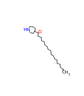 C=CCCCCCCCCCCCCCCCC(=O)C1CCCNCC1